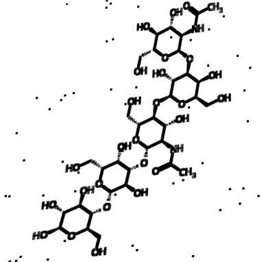 CC(=O)N[C@H]1[C@H](O[C@H]2[C@@H](O)[C@@H](CO)O[C@@H](O[C@H]3[C@H](O)[C@@H](O)[C@H](O)O[C@@H]3CO)[C@@H]2O)O[C@H](CO)[C@@H](O[C@@H]2O[C@H](CO)[C@H](O)[C@H](O[C@H]3O[C@H](CO)[C@@H](O)[C@H](O)[C@H]3NC(C)=O)[C@H]2O)[C@@H]1O